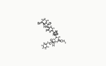 CN1C[C@@H](NC(=O)OCc2ccccc2)C[C@@H](c2nc(-c3ccc(NC(=O)c4cccc(Br)n4)c(F)c3)no2)C1